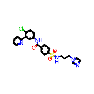 O=C(Nc1ccc(Cl)c(-c2ccccn2)c1)c1ccc(S(=O)(=O)NCCCn2ccnc2)cc1